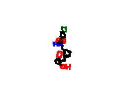 O=C1CCC(O)=C1Cc1cccc(CCNS(=O)(=O)c2ccc(Cl)cc2)c1